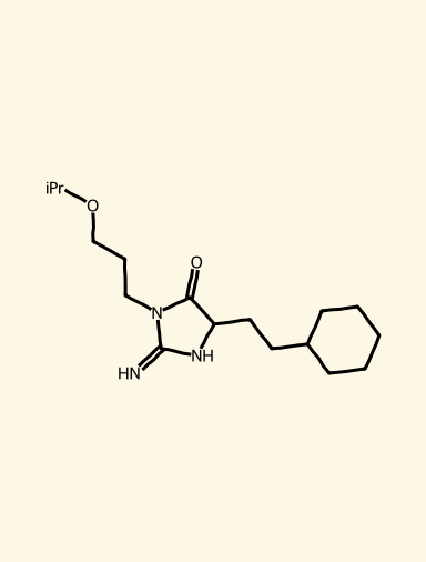 CC(C)OCCCN1C(=N)NC(CCC2CCCCC2)C1=O